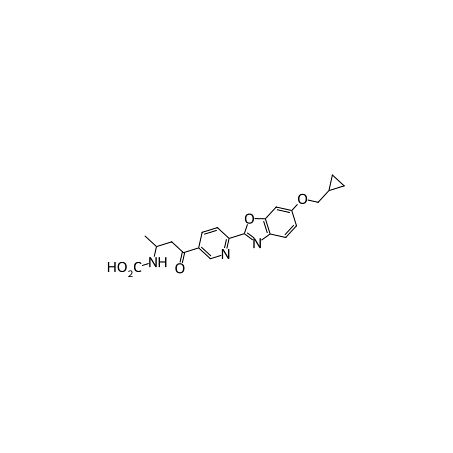 CC(CC(=O)c1ccc(-c2nc3ccc(OCC4CC4)cc3o2)nc1)NC(=O)O